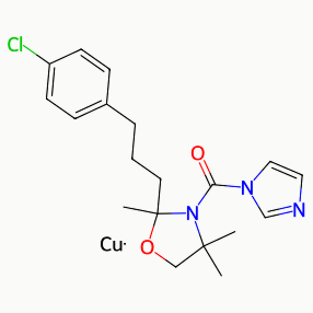 CC1(C)COC(C)(CCCc2ccc(Cl)cc2)N1C(=O)n1ccnc1.[Cu]